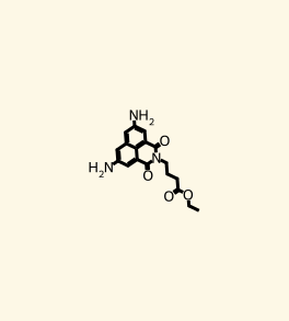 CCOC(=O)CCCN1C(=O)c2cc(N)cc3cc(N)cc(c23)C1=O